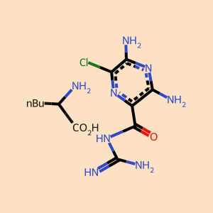 CCCCC(N)C(=O)O.N=C(N)NC(=O)c1nc(Cl)c(N)nc1N